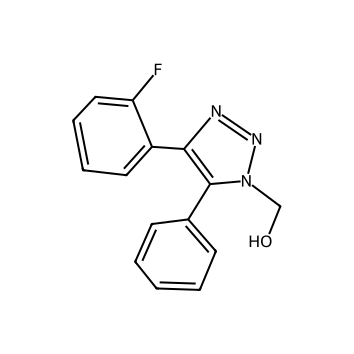 OCn1nnc(-c2ccccc2F)c1-c1ccccc1